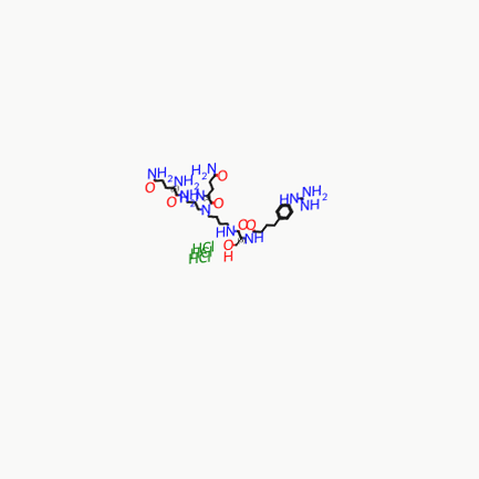 Cl.Cl.Cl.N=C(N)Nc1ccc(CCCC(=O)N[C@@H](CO)C(=O)NCCCCN(CCCNC(=O)[C@@H](N)CCC(N)=O)C(=O)[C@@H](N)CCC(N)=O)cc1